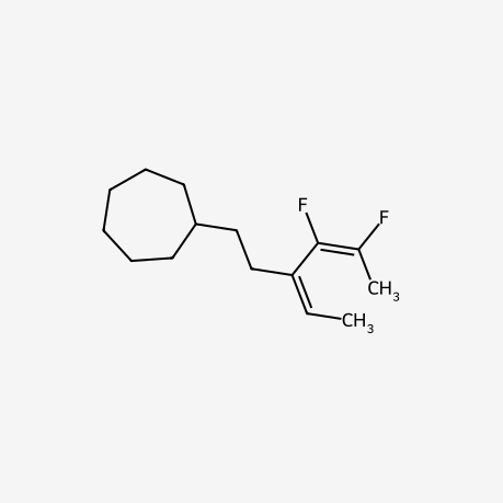 C/C=C(CCC1CCCCCC1)\C(F)=C(/C)F